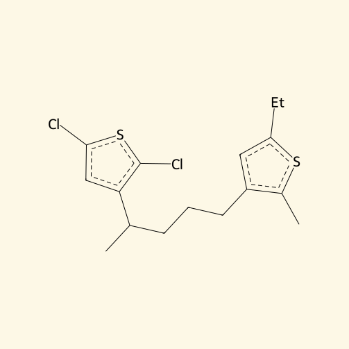 CCc1cc(CCCC(C)c2cc(Cl)sc2Cl)c(C)s1